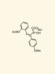 COc1ccc([C@@H](Sc2ccccc2NC(C)=O)[C@H](O)C(=O)[O-])cc1.[Na+]